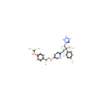 OC(Cn1cnnn1)(c1ccc(F)cc1F)C(F)(F)c1ccc(OCC(F)c2ccc(OC(F)F)cc2)cn1